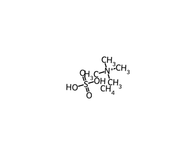 C.C[N+](C)(C)C.O=S(=O)(O)O